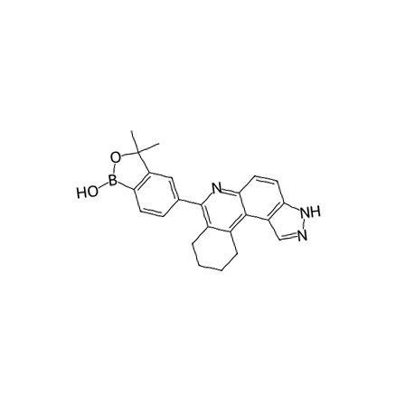 CC1(C)OB(O)c2ccc(-c3nc4ccc5[nH]ncc5c4c4c3CCCC4)cc21